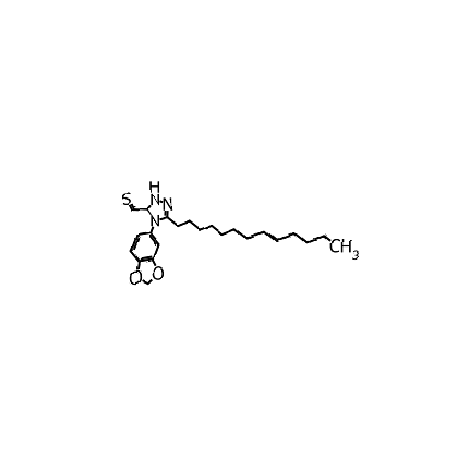 CCCCCCCCCCCCCC1=NNC(C=S)N1c1ccc2c(c1)OCO2